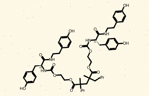 CC(C)CC(C)(CC(C)(C(=O)OCCOC(=O)N[C@@H](Cc1ccc(O)cc1)C(=O)NCCc1ccc(O)cc1)C(C)C)C(=O)OCCOC(=O)N[C@@H](Cc1ccc(O)cc1)C(=O)NCCc1ccc(O)cc1